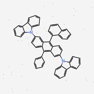 c1ccc(-c2c3cc(-n4c5ccccc5c5ccccc54)ccc3c(-c3cccc4ccccc34)c3cc(-n4c5ccccc5c5ccccc54)ccc23)cc1